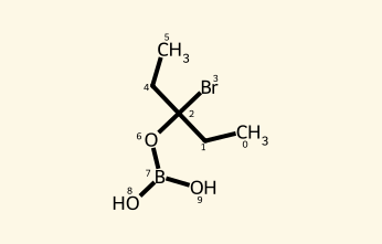 CCC(Br)(CC)OB(O)O